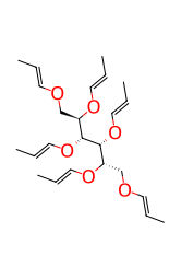 CC=COC[C@H](OC=CC)[C@@H](OC=CC)[C@H](OC=CC)[C@@H](COC=CC)OC=CC